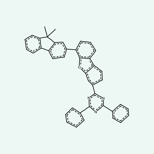 CC1(C)c2ccccc2-c2ccc(-c3cccc4c3oc3cc(-c5nc(-c6ccccc6)nc(-c6ccccc6)n5)ccc34)cc21